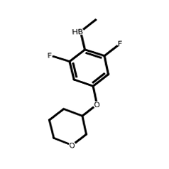 CBc1c(F)cc(OC2CCCOC2)cc1F